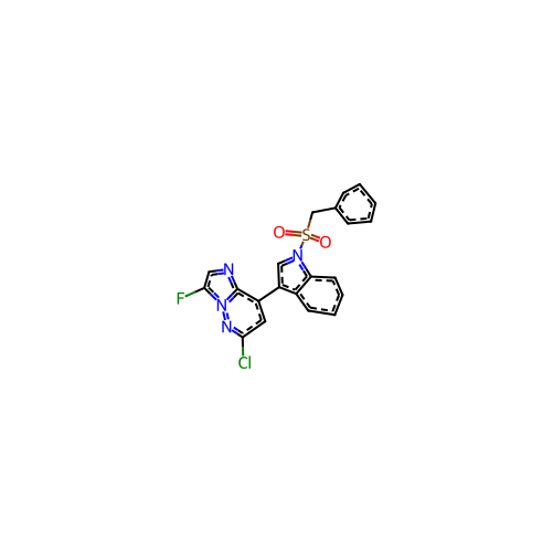 O=S(=O)(Cc1ccccc1)n1cc(-c2cc(Cl)nn3c(F)cnc23)c2ccccc21